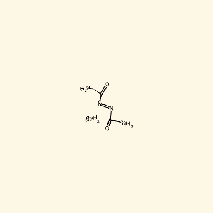 NC(=O)N=NC(N)=O.[BaH2]